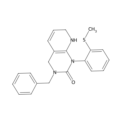 CSc1ccccc1N1C(=O)N(Cc2ccccc2)CC2=C1NCC=C2